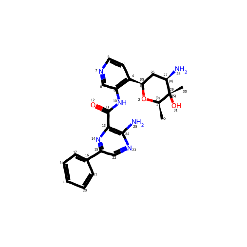 C[C@H]1O[C@@H](c2ccncc2NC(=O)c2nc(-c3ccccc3)cnc2N)C[C@@H](N)[C@]1(C)O